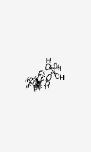 O[Si](O)(O)O.[F][Zn]([F])([F])([F])([F])[F]